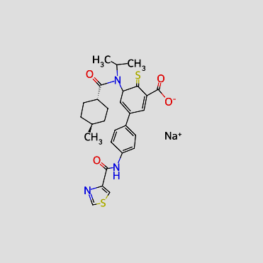 CC(C)N(C(=O)[C@H]1CC[C@H](C)CC1)C1C=C(c2ccc(NC(=O)c3cscn3)cc2)C=C(C(=O)[O-])C1=S.[Na+]